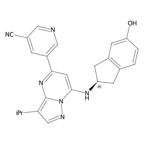 CC(C)c1cnn2c(N[C@@H]3Cc4ccc(O)cc4C3)cc(-c3cncc(C#N)c3)nc12